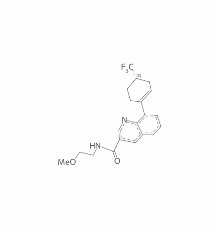 COCCNC(=O)c1cnc2c(C3=CC[C@@H](C(F)(F)F)CC3)cccc2c1